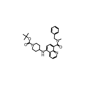 CN(Cc1ccccc1)C(=O)c1ccc(NC2CCN(C(=O)OC(C)(C)C)CC2)c2cccnc12